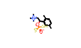 Cc1ccc(C)c(C(C[N+](C)(C)C)OP([O-])(=S)S)c1